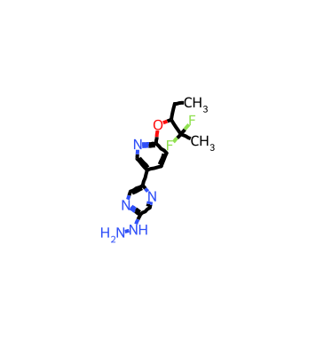 CCC(Oc1ccc(-c2cnc(NN)cn2)cn1)C(C)(F)F